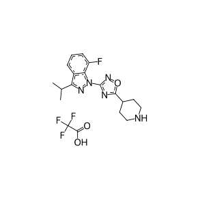 CC(C)c1nn(-c2noc(C3CCNCC3)n2)c2c(F)cccc12.O=C(O)C(F)(F)F